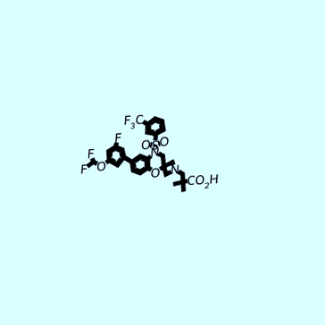 CC(C)(CN1CC2(C1)CN(S(=O)(=O)c1cccc(C(F)(F)F)c1)c1cc(-c3cc(F)cc(OC(F)F)c3)ccc1O2)C(=O)O